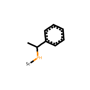 CC([PH][Sc])c1ccccc1